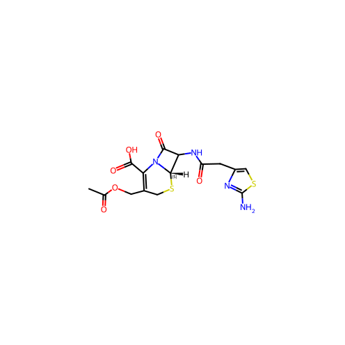 CC(=O)OCC1=C(C(=O)O)N2C(=O)C(NC(=O)Cc3csc(N)n3)[C@@H]2SC1